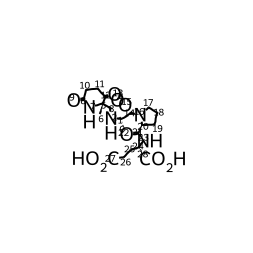 C[C@H](NC(=O)[C@]1(C)NC(=O)CCC1=O)C(=O)N1CCC[C@H]1C(=O)N[C@@H](CCC(=O)O)C(=O)O